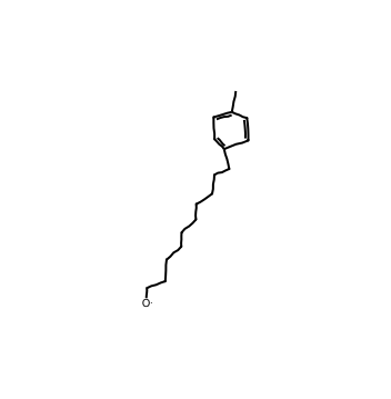 Cc1ccc(CCCCCCCCCC[O])cc1